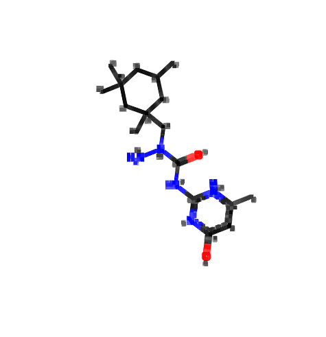 Cc1cc(=O)nc(NC(=O)N(N)CC2(C)CC(C)CC(C)(C)C2)[nH]1